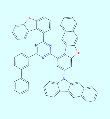 c1ccc(-c2cccc(-c3nc(-c4cccc5oc6ccccc6c45)nc(-c4cc(-n5c6ccccc6c6cc7ccccc7cc65)cc5oc6cc7ccccc7cc6c45)n3)c2)cc1